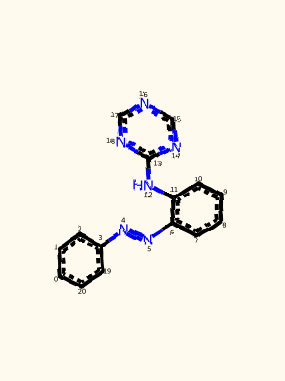 c1ccc(N=Nc2ccccc2Nc2ncncn2)cc1